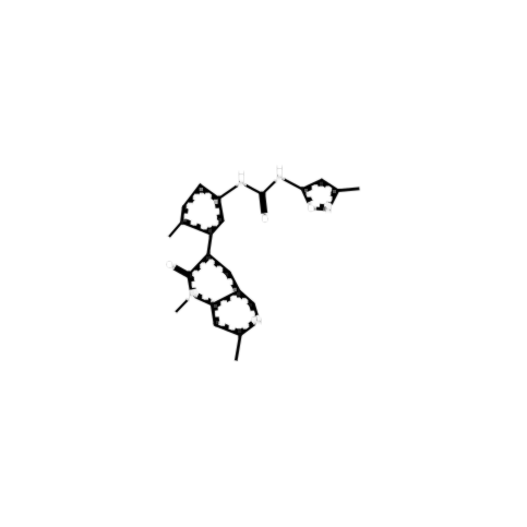 Cc1cc2c(cn1)cc(-c1cc(NC(=O)Nc3cc(C)no3)ccc1C)c(=O)n2C